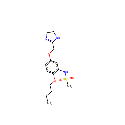 CCCCOc1ccc(OCC2=NCCN2)cc1NS(C)(=O)=O